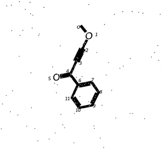 COC#CC(=O)c1ccccc1